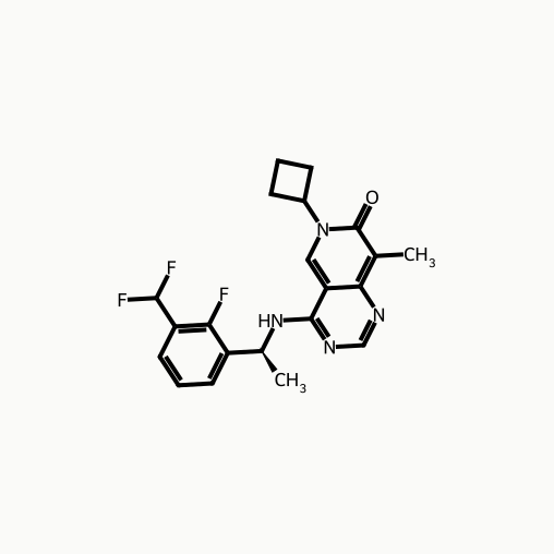 Cc1c(=O)n(C2CCC2)cc2c(N[C@@H](C)c3cccc(C(F)F)c3F)ncnc12